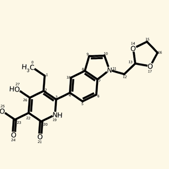 CCc1c(-c2ccc3c(ccn3CC3OCCO3)c2)[nH]c(=O)c(C(=O)O)c1O